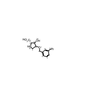 CC(C)c1cccc(COC2CN[C@H](C(=O)O)C2O)c1